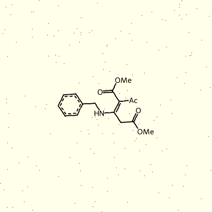 COC(=O)CC(NCc1ccccc1)=C(C(C)=O)C(=O)OC